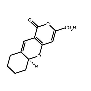 O=C(O)c1cc2c(c(=O)o1)C=C1CCCC[C@@H]1O2